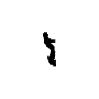 Cc1ncsc1-c1ccc([C@H](CO)NC(=O)[C@@H]2C[C@@H](O)CN2C(=O)[C@@H](NC(=O)CN2CCN(CCC3CCN(c4ccc(C(=O)N[C@H]5C(C)(C)[C@H](Oc6ccc(C#N)c(Cl)c6)C5(C)C)cn4)C3)CC2)C(C)(C)C)cc1